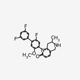 COc1cc(-c2cc(F)cc(F)c2)c(F)cc1-n1c2c(ccc1=O)CNC(C)C2